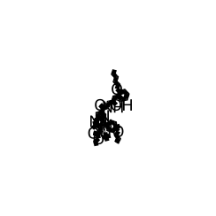 C=CCOC1(C)CCN(c2c([C@H](OC(C)(C)C)C(=O)OCC)c(C)nc3cc(C(=O)NCC(O)Cc4ccccc4OCCCCC)nn23)CC1